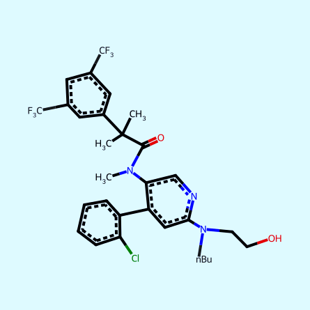 CCCCN(CCO)c1cc(-c2ccccc2Cl)c(N(C)C(=O)C(C)(C)c2cc(C(F)(F)F)cc(C(F)(F)F)c2)cn1